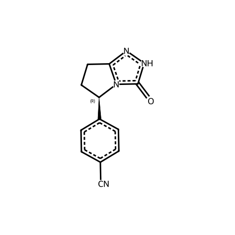 N#Cc1ccc([C@H]2CCc3n[nH]c(=O)n32)cc1